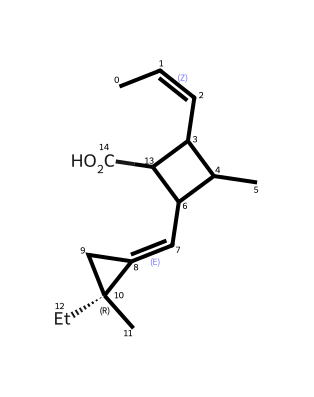 C/C=C\C1C(C)C(/C=C2\C[C@@]2(C)CC)C1C(=O)O